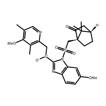 COc1ccc2nc([S+]([O-])Cc3ncc(C)c(OC)c3C)n(S(=O)(=O)C[C@@]34CC[C@@H](CC3=O)C4(C)C)c2c1